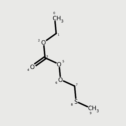 CCOC(=O)OOCSC